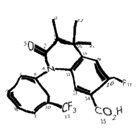 CC1C(=O)N(c2ccccc2C(F)(F)F)c2cc(C(=O)O)c(F)cc2C1(C)C